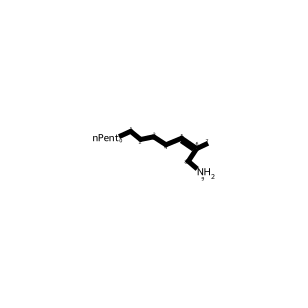 CCCCCCCCCC=C(C)CN